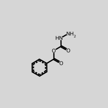 NNC(=O)OC(=O)c1ccccc1